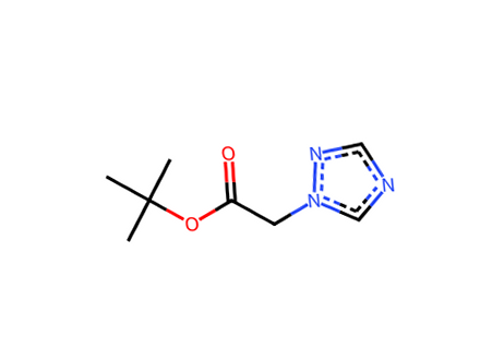 CC(C)(C)OC(=O)Cn1cncn1